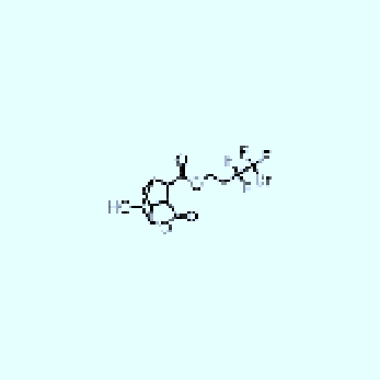 O=C(OCCC(F)(F)C(F)(F)Br)C1C2CC3C(OC(=O)C31)C2O